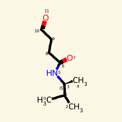 CC(C)[C@H](C)NC(=O)CCC=O